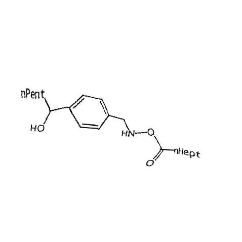 CCCCCCCC(=O)ONCc1ccc(C(O)CCCCC)cc1